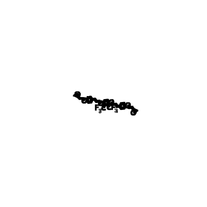 FC(F)(F)c1c(OCCCc2ccc(OCCC3CO3)cc2)ccc(OCCCc2ccc(OCCC3CO3)cc2)c1C(F)(F)F